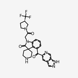 O=C(c1cc2cn[nH]c2cn1)c1cccc2c1C1(CCNCC1)C(=O)N2CC(=O)N1CC[C@@H](C(F)(F)F)C1